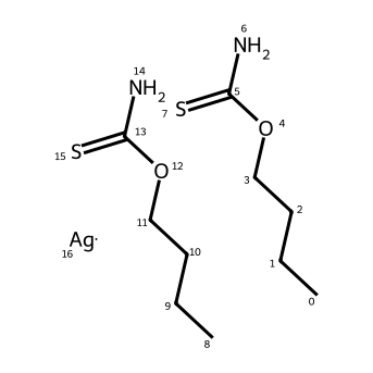 CCCCOC(N)=S.CCCCOC(N)=S.[Ag]